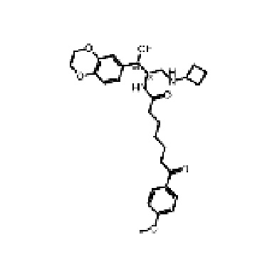 COc1ccc(C(=O)CCCCCC(=O)N[C@H](CNC2CCC2)[C@H](O)c2ccc3c(c2)OCCO3)cc1